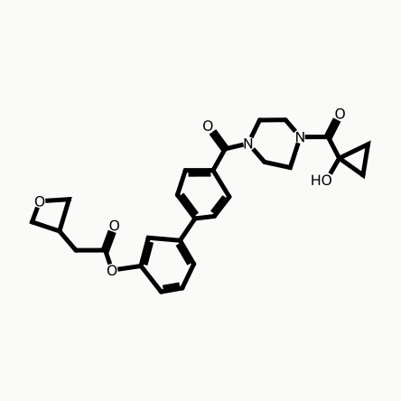 O=C(CC1COC1)Oc1cccc(-c2ccc(C(=O)N3CCN(C(=O)C4(O)CC4)CC3)cc2)c1